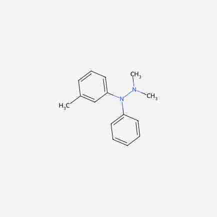 Cc1cccc(N(c2ccccc2)N(C)C)c1